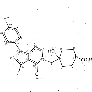 O=C(O)N1CCC(O)(Cn2cnc3c(c(I)nn3-c3ccc(F)cc3)c2=O)CC1